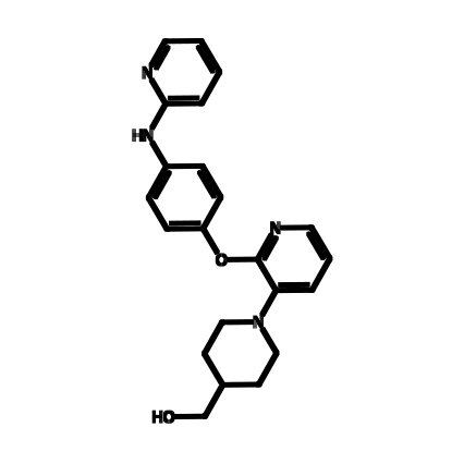 OCC1CCN(c2cccnc2Oc2ccc(Nc3ccccn3)cc2)CC1